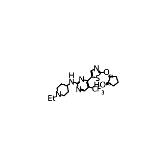 CCN1CCC(Nc2ncc(C(F)(F)F)c(-c3cnc(O[C@@H]4CCC[C@H]4O)s3)n2)CC1